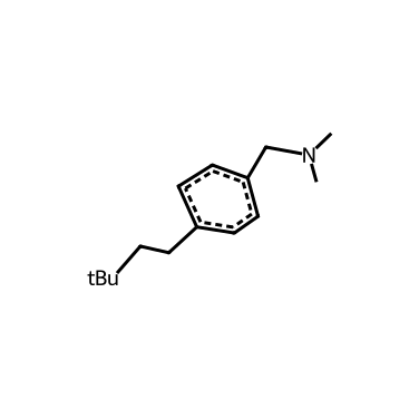 CN(C)Cc1ccc(CCC(C)(C)C)cc1